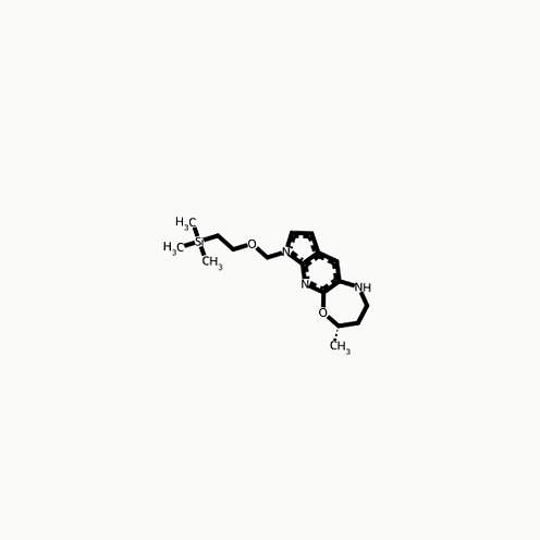 C[C@H]1CCNc2cc3ccn(COCC[Si](C)(C)C)c3nc2O1